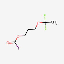 CC(F)(F)OCCCOC(=O)I